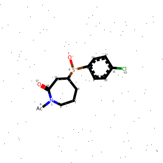 CC(=O)N1CCCC([S+]([O-])c2ccc(Cl)cc2)CC1=O